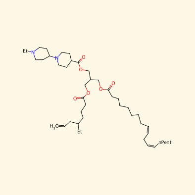 C=CCC(CC)CCCC(=O)OCC(COC(=O)CCCCCCC/C=C\C/C=C\CCCCC)COC(=O)C1CCN(C2CCN(CC)CC2)CC1